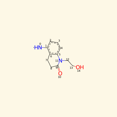 [NH]c1cccc2c1CCC(=O)N2CCO